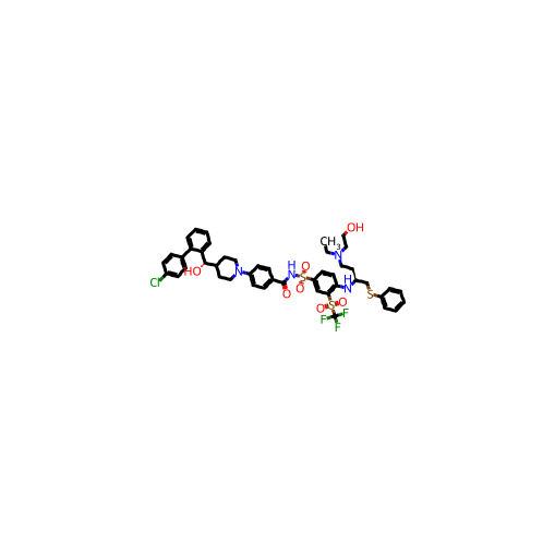 CCN(CCO)CC[C@@H](CSc1ccccc1)Nc1ccc(S(=O)(=O)NC(=O)c2ccc(N3CCC([C@H](O)c4ccccc4-c4ccc(Cl)cc4)CC3)cc2)cc1S(=O)(=O)C(F)(F)F